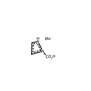 O=C(O)n1cc[nH]1.[Mo]